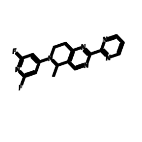 CC1c2cnc(-c3ncccn3)nc2CCN1c1cc(F)nc(F)c1